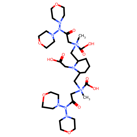 C[N+](CC(=O)N(N1CCOCC1)N1CCOCC1)(CC1CCCC(C[N+](C)(CC(=O)N(N2CCOCC2)N2CCOCC2)C(=O)O)N1CC(=O)O)C(=O)O